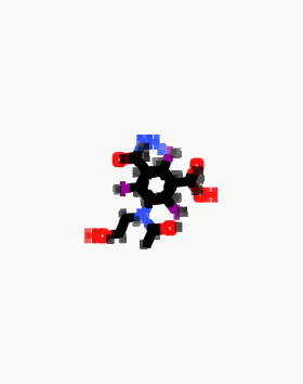 CC(=O)N(CCO)c1c(I)c(C(N)=O)c(I)c(C(=O)O)c1I